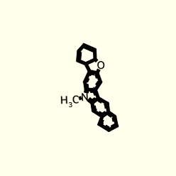 Cn1c2cc3c(cc2c2cc4ccccc4cc21)OC1C=CC=CC31